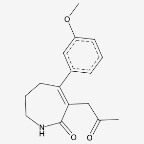 COc1cccc(C2=C(CC(C)=O)C(=O)NCCC2)c1